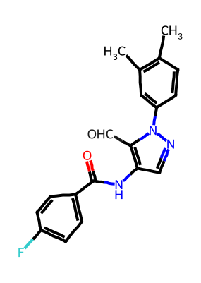 Cc1ccc(-n2ncc(NC(=O)c3ccc(F)cc3)c2C=O)cc1C